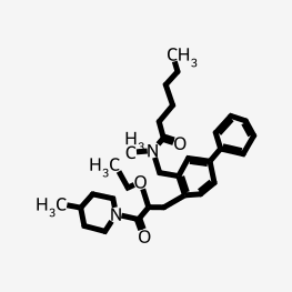 CCCCCC(=O)N(C)Cc1cc(-c2ccccc2)ccc1CC(OCC)C(=O)N1CCC(C)CC1